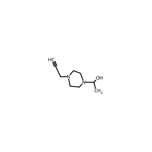 C#CCN1CCN(C([CH2])O)CC1